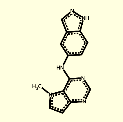 Cn1ccc2ncnc(Nc3ccc4[nH]ncc4c3)c21